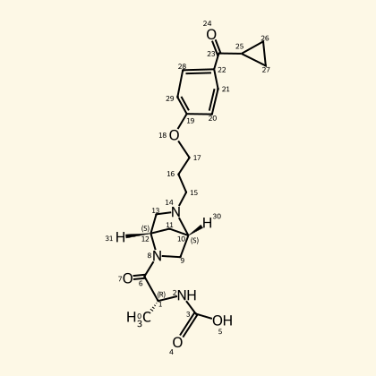 C[C@@H](NC(=O)O)C(=O)N1C[C@@H]2C[C@H]1CN2CCCOc1ccc(C(=O)C2CC2)cc1